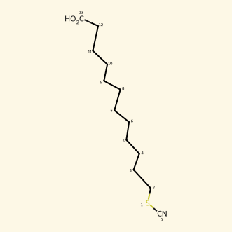 N#CSCCCCCCCCCCCC(=O)O